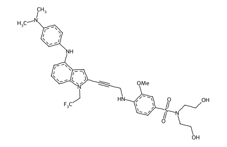 COc1cc(S(=O)(=O)N(CCO)CCO)ccc1NCC#Cc1cc2c(Nc3ccc(N(C)C)cc3)cccc2n1CC(F)(F)F